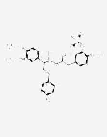 COc1ccc(C(CCc2ccc(Cl)cc2)NCC(O)Cc2ccc(O)c(NS(C)(=O)=O)c2)cc1OC